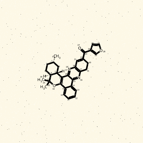 C[C@H]1CC[C@H]2[C@H](C1)c1c(c3ccccc3c3nc4c(nc13)C=C(C(=O)c1ccoc1)CC4)OC2(C)C